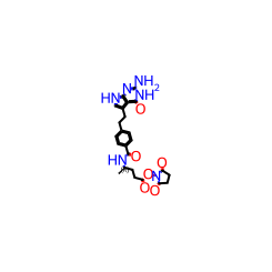 C[C@H](CCC(=O)ON1C(=O)CCC1=O)NC(=O)c1ccc(CCc2c[nH]c3nc(N)[nH]c(=O)c23)cc1